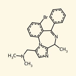 CC1N=C(c2ccccc2)c2c(Br)cccc2-n2c(CN(C)C)cnc21